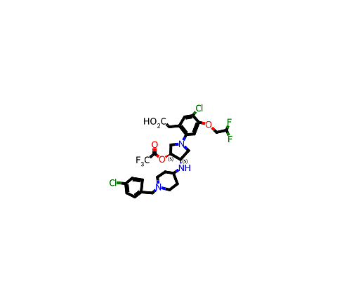 O=C(O)Cc1cc(Cl)c(OCC(F)F)cc1N1C[C@H](NC2CCN(Cc3ccc(Cl)cc3)CC2)[C@@H](OC(=O)C(F)(F)F)C1